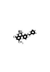 Cc1cc(Cl)c2c(c1)C(c1cccc(SCc3ccccc3)c1)CN(C)C2